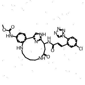 COC(=O)Nc1ccc2c(c1)NCCCCNC(=O)CC(NC(=O)/C=C/c1cc(Cl)ccc1-n1cnnn1)c1nc-2c[nH]1